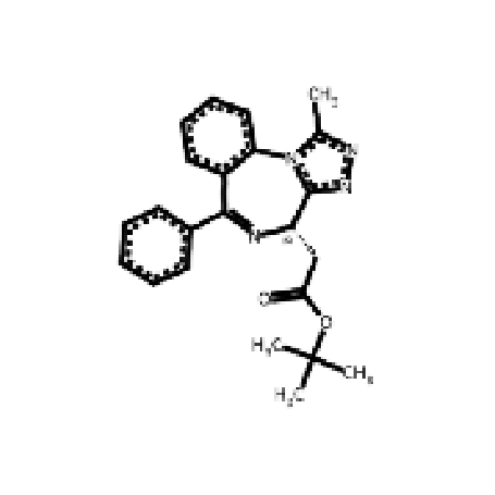 Cc1nnc2n1-c1ccccc1C(c1ccccc1)=N[C@H]2CC(=O)OC(C)(C)C